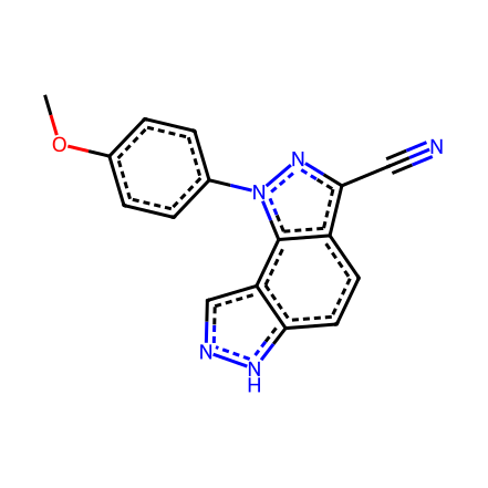 COc1ccc(-n2nc(C#N)c3ccc4[nH]ncc4c32)cc1